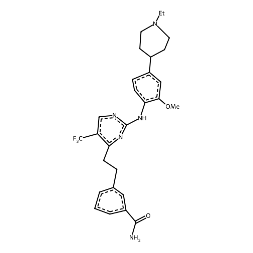 CCN1CCC(c2ccc(Nc3ncc(C(F)(F)F)c(CCc4cccc(C(N)=O)c4)n3)c(OC)c2)CC1